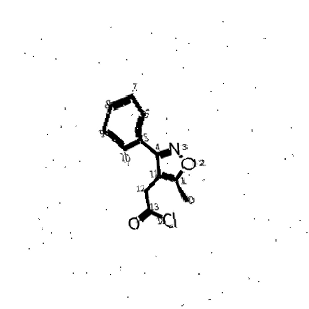 Cc1onc(-c2ccccc2)c1CC(=O)Cl